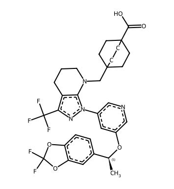 C[C@H](Oc1cncc(-n2nc(C(F)(F)F)c3c2N(CC24CCC(C(=O)O)(CC2)CC4)CCC3)c1)c1ccc2c(c1)OC(F)(F)O2